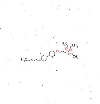 CCCCCC[C@H]1CC[C@H]([C@H]2CC[C@H](OCCC[Si](OCC)(OCC)OCC)CC2)CC1